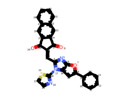 O=C1C(=Cc2nc3oc(-c4ccccc4)cc3n2-c2nccs2)C(=O)c2cc3ccccc3cc21